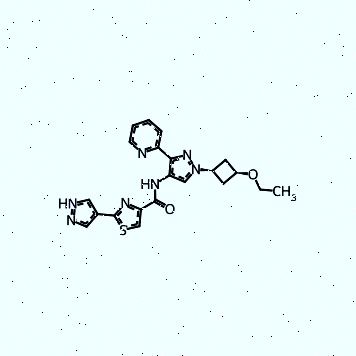 CCO[C@H]1C[C@@H](n2cc(NC(=O)c3csc(-c4cn[nH]c4)n3)c(-c3ccccn3)n2)C1